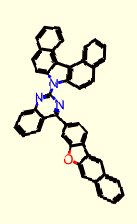 c1ccc2cc3c(cc2c1)oc1cc(-c2nc(-n4c5ccc6ccccc6c5c5c6ccccc6ccc54)nc4ccccc24)ccc13